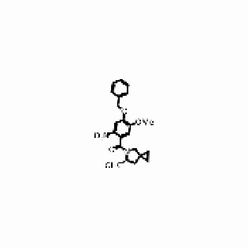 COc1cc(C(=O)N2CC3(CC3)C[C@H]2C=O)c([N+](=O)[O-])cc1OCc1ccccc1